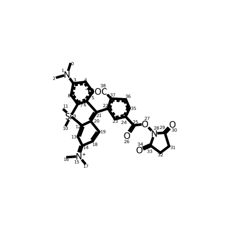 CN(C)c1ccc2c(c1)[Si](C)(C)C1=CC(=[N+](C)C)C=CC1=C2c1cc(C(=O)ON2C(=O)CCC2=O)ccc1C(=O)[O-]